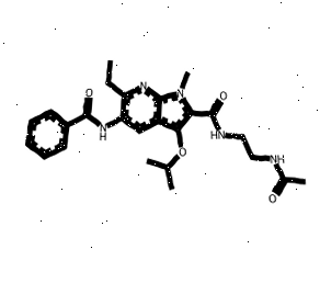 CCc1nc2c(cc1NC(=O)c1ccccc1)c(OC(C)C)c(C(=O)NCCNC(C)=O)n2C